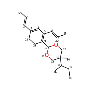 CC=CC1=CC(C=CC)=C(C2OCC(C)(C(C)CC)CO2)CC1